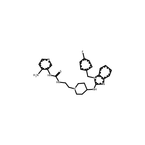 Nc1ccncc1NC(=S)NCCN1CCC(Nc2nc3ccccc3n2Cc2ccc(F)cc2)CC1